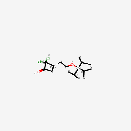 CC(C)[Si](OCC[C@@H]1CC(=O)C1(Cl)Cl)(C(C)C)C(C)C